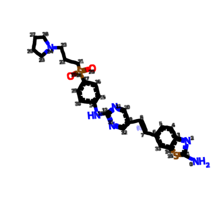 Nc1nc2ccc(/C=C/c3cnc(Nc4ccc(S(=O)(=O)CCCN5CCCC5)cc4)nc3)cc2s1